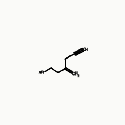 C#C[CH]C(=C)CCCCC